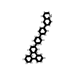 c1cnc2ccc(-c3ccc(-c4ccc(-c5ccc6c7ccccc7c7ccccc7c6c5)cc4)cc3)cc2c1